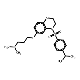 CC(C)c1ccc(S(=O)(=O)N2CCSc3ccc(OCCCN(C)C)cc32)cc1